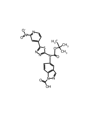 CC(C)(C)OC(=O)N(c1ccc2c(cnn2C(=O)O)c1)c1nnc(-c2ccnc([N+](=O)[O-])c2)s1